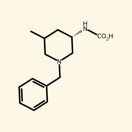 CC1C[C@H](NC(=O)O)CN(Cc2ccccc2)C1